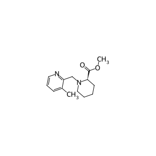 COC(=O)[C@H]1CCCCN1Cc1ncccc1C